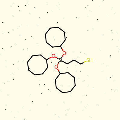 SCCC[Si](OC1CCCCCCC1)(OC1CCCCCCC1)OC1CCCCCCC1